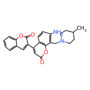 CC1CCN(Cc2c(N)ccc3c(-c4cc5ccccc5oc4=O)cc(=O)oc23)CC1